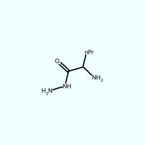 CCCC(N)C(=O)NN